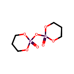 O=P1(OP2(=O)OCCCO2)OCCCO1